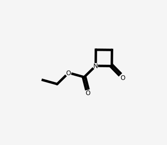 CCOC(=O)N1CCC1=O